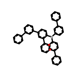 c1ccc(-c2ccc(N(c3cccc(-c4ccccc4)c3)c3ccc(-c4cccc(-c5ccccc5)c4)cc3-c3ccccc3)cc2)cc1